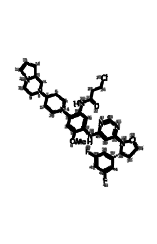 COc1cc(N2CCC(N3CCN4CCCC4C3)CC2)c(NC(=O)CCCl)cc1Nc1cc(N2OCC[C@@H]2c2cc(F)cc(F)c2)ncn1